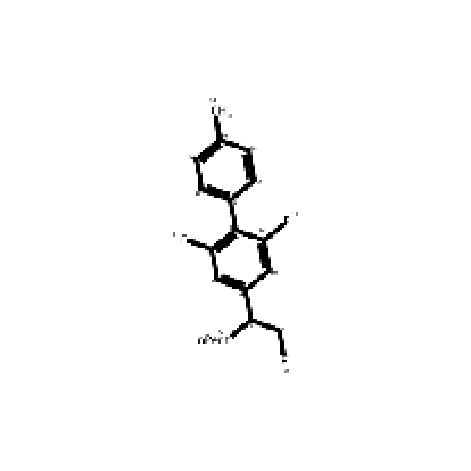 C[CH]CCCC(CF)c1cc(F)c(-c2ccc(C)cc2)c(F)c1